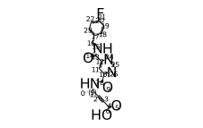 C[C@@H](C#CC(=O)O)NC(=O)c1cc(C(=O)NCc2ccc(F)cc2)ncn1